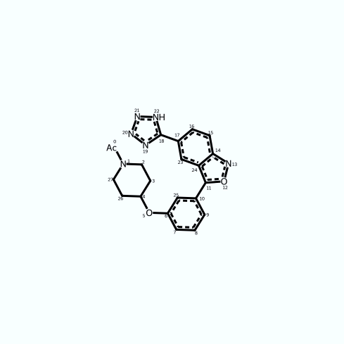 CC(=O)N1CCC(Oc2cccc(-c3onc4ccc(-c5nnn[nH]5)cc34)c2)CC1